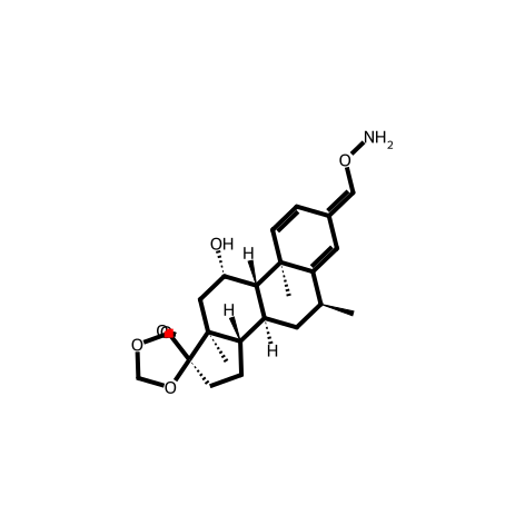 C[C@H]1C[C@@H]2[C@H]([C@@H](O)C[C@@]3(C)[C@H]2CC[C@@]32OCOC23COCO3)[C@@]2(C)C=C/C(=C\ON)C=C12